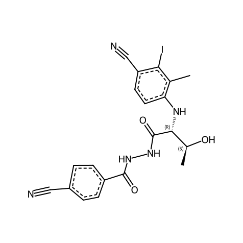 Cc1c(N[C@@H](C(=O)NNC(=O)c2ccc(C#N)cc2)[C@H](C)O)ccc(C#N)c1I